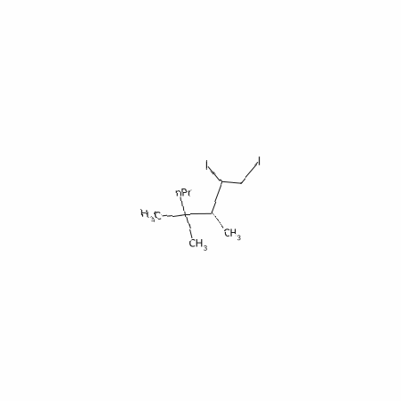 CCCC(C)(C)C(C)C(I)CI